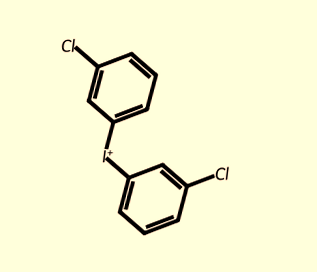 Clc1cccc([I+]c2cccc(Cl)c2)c1